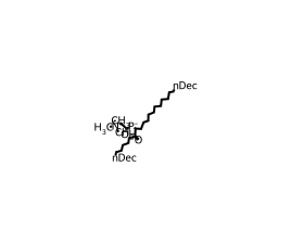 CCCCCCCCCCCCCCCCCCCCCC([P-]C(O)C[N+](C)(C)C)C(=O)CCCCCCCCCCCCCCC